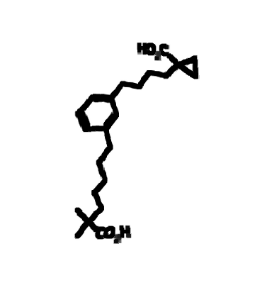 CC(C)(CCCCCc1cccc(CCCCC2(C(=O)O)CC2)c1)C(=O)O